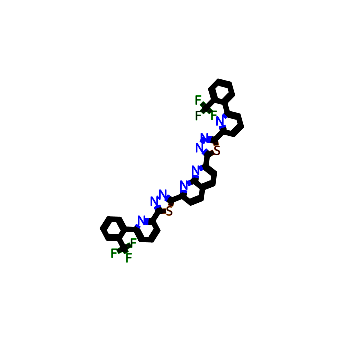 FC(F)(F)c1ccccc1-c1cccc(-c2nnc(-c3ccc4ccc(-c5nnc(-c6cccc(-c7ccccc7C(F)(F)F)n6)s5)nc4n3)s2)n1